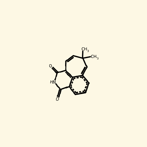 CC1(C)C=CC2=c3c(cccc3=C1)C(=O)NC2=O